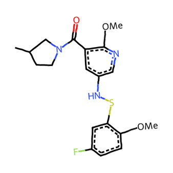 COc1ccc(F)cc1SNc1cnc(OC)c(C(=O)N2CCC(C)C2)c1